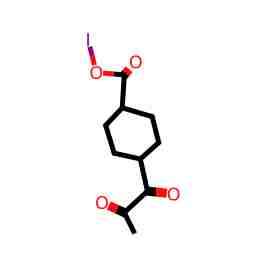 CC(=O)C(=O)C1CCC(C(=O)OI)CC1